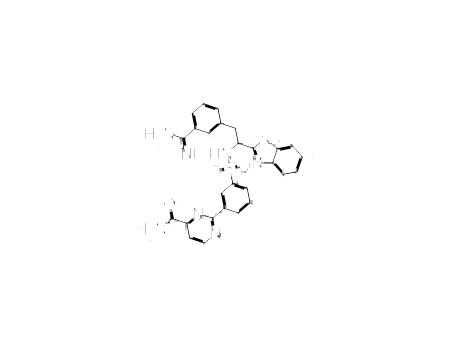 N=C(N)c1cccc(CC(NS(=O)(=O)c2cccc(-c3nccc(C(N)=O)n3)c2)c2nc3ccccc3s2)c1